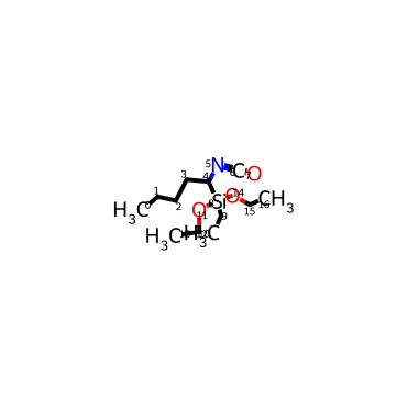 CCCCC(N=C=O)[Si](CC)(OCC)OCC